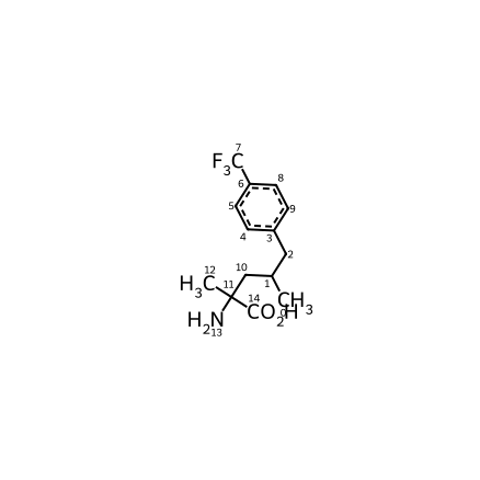 CC(Cc1ccc(C(F)(F)F)cc1)CC(C)(N)C(=O)O